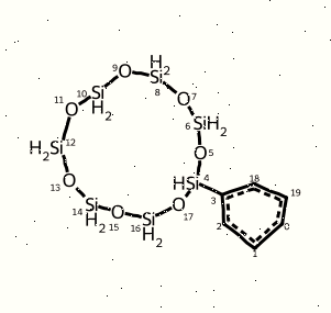 c1ccc([SiH]2O[SiH2]O[SiH2]O[SiH2]O[SiH2]O[SiH2]O[SiH2]O2)cc1